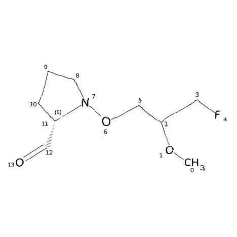 COC(CF)CON1CCC[C@H]1C=O